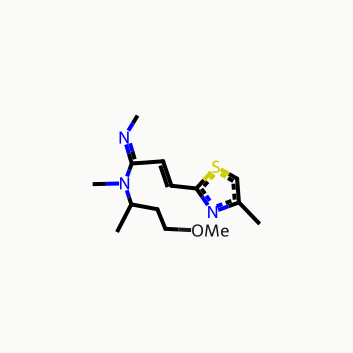 C/N=C(\C=C\c1nc(C)cs1)N(C)C(C)CCOC